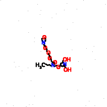 CCCCCN(CCOc1cc(CO)nc(CO)c1)C(=O)CCOCCOCCOCCN1CCOCC1